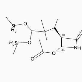 C[SiH2]OC(O[SiH2]C)C(C)(C)C(C)[C@H]1C(=O)N[C@@H]1OC(C)=O